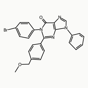 COCc1ccc(-c2nc3c(ncn3-c3ccccc3)c(=O)n2-c2ccc(Br)cc2)cc1